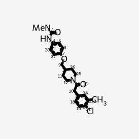 CNC(=O)Nc1ccc(OCC2CCN(C(=O)Cc3ccc(Cl)c(C)c3)CC2)cc1